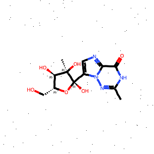 Cc1nn2c([C@]3(O)O[C@H](CO)[C@@H](O)[C@@]3(C)O)cnc2c(=O)[nH]1